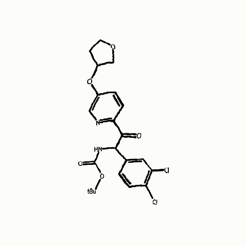 CC(C)(C)OC(=O)NC(C(=O)c1ccc(OC2CCOC2)cn1)c1ccc(Cl)c(Cl)c1